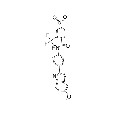 COc1ccc2nc(-c3ccc(NC(=O)c4ccc([N+](=O)[O-])cc4C(F)(F)F)cc3)sc2c1